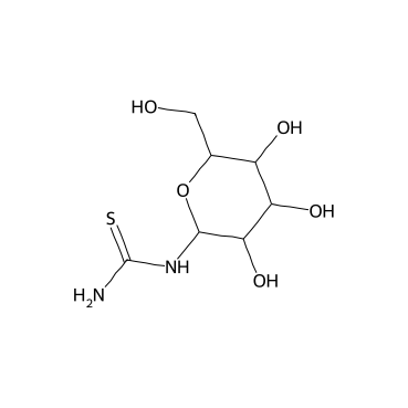 NC(=S)NC1OC(CO)C(O)C(O)C1O